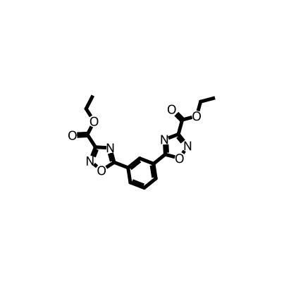 CCOC(=O)c1noc(-c2cccc(-c3nc(C(=O)OCC)no3)c2)n1